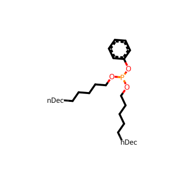 CCCCCCCCCCCCCCCOP(OCCCCCCCCCCCCCCC)Oc1ccccc1